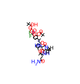 CCCC[C@H](NC(=O)/C=C(\C)c1ccc(C(F)(F)P(=O)(OCOC(=O)C(C)(C)C)OCOC(O)C(C)(C)C)cc1)C(=O)N1C[C@H]2C[C@H]2[C@H]1C(=O)N[C@@H](CCC(N)=O)[C@@H](C)OCc1ccccc1